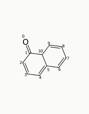 O=C1C=CC=C2C=CC=CC12